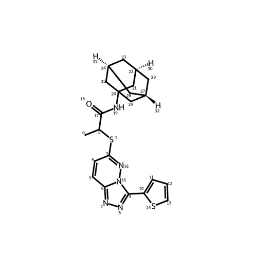 CC(Sc1ccc2nnc(-c3cccs3)n2n1)C(=O)NC12C[C@H]3C[C@H](C1)C[C@@H](C2)C3